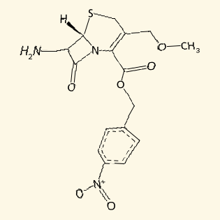 COCC1=C(C(=O)OCc2ccc([N+](=O)[O-])cc2)N2C(=O)C(N)[C@@H]2SC1